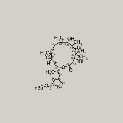 CCCCOCn1nnc(/C=C(\C)[C@@H]2C[C@@H]3O[C@]3(C)CCC[C@H](C)[C@H](O)[C@@H](C)C(=O)C(C)(C)[C@@H](O)CC(=O)O2)n1